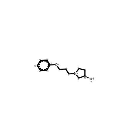 O[C@@H]1CCN(CCCOc2ccccc2)C1